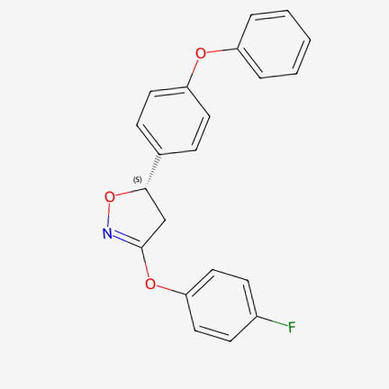 Fc1ccc(OC2=NO[C@H](c3ccc(Oc4ccccc4)cc3)C2)cc1